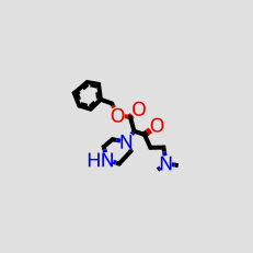 CN(C)CCC(=O)C(C(=O)OCc1ccccc1)N1CCNCC1